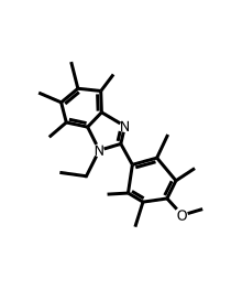 CCn1c(-c2c(C)c(C)c(OC)c(C)c2C)nc2c(C)c(C)c(C)c(C)c21